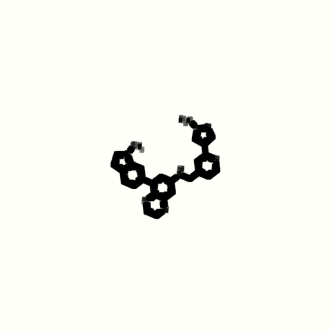 Cn1cc(-c2cc(CNc3cc(-c4ccc5ccn(C)c5c4)c4nccnc4c3)ccn2)cn1